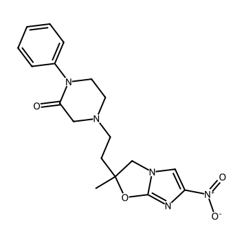 CC1(CCN2CCN(c3ccccc3)C(=O)C2)Cn2cc([N+](=O)[O-])nc2O1